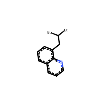 CCC(CC)Cc1cccc2cccnc12